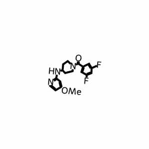 COc1ccnc(NC2CCN(C(=O)c3cc(F)cc(F)c3)CC2)c1